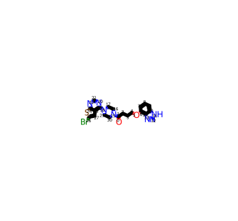 O=C(CCCOc1cccc2[nH]nnc12)N1CCN(c2ncnc3sc(Br)cc23)CC1